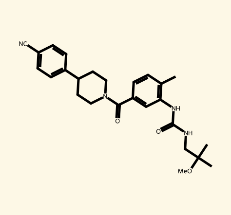 COC(C)(C)CNC(=O)Nc1cc(C(=O)N2CCC(c3ccc(C#N)cc3)CC2)ccc1C